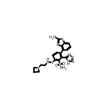 Nc1nc2c(-c3ccc(SNCCN4CCC4)c(S(N)(=O)=O)c3-c3nnn[nH]3)cccc2s1